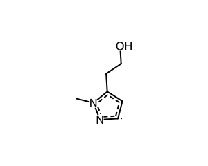 Cn1n[c]cc1CCO